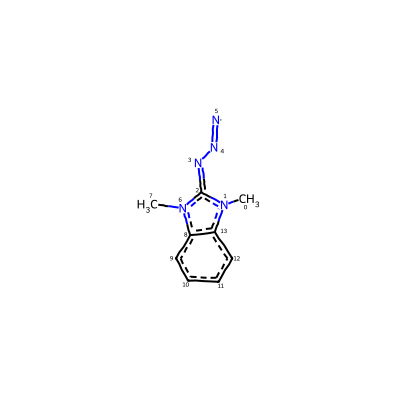 Cn1c(=NN=[N])n(C)c2ccccc21